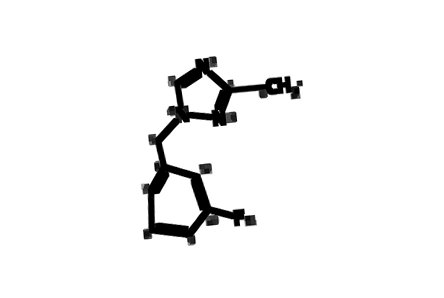 [CH2]c1ncn(Cc2cccc(F)c2)n1